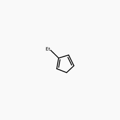 CCC1=CCC=C1